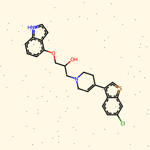 OC(COc1cccc2[nH]ccc12)CN1CC=C(c2csc3cc(Cl)ccc23)CC1